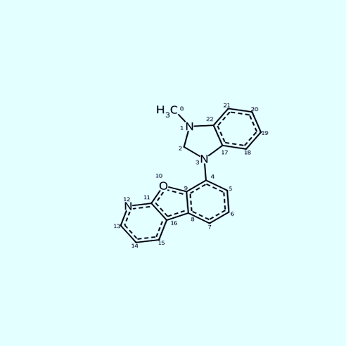 CN1CN(c2cccc3c2oc2ncccc23)c2ccccc21